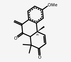 C=C1C(=O)C2C(C)(C)C(=O)C=C[C@@]2(C)c2cc(OC)ccc21